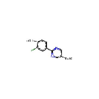 CCC[CH]CCCCc1ccc(-c2ncc(CCCCCCCCCC)cn2)cc1F